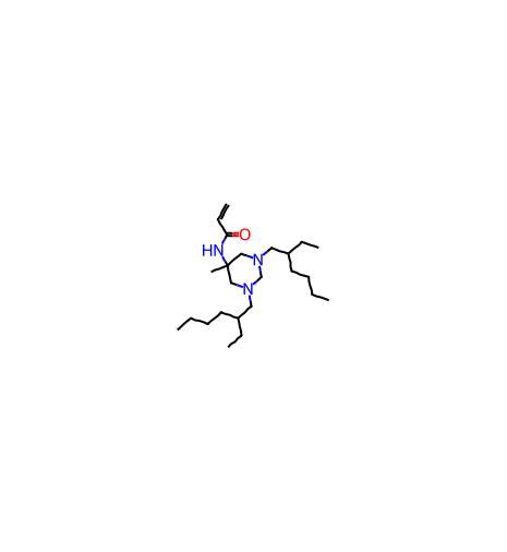 C=CC(=O)NC1(C)CN(CC(CC)CCCC)CN(CC(CC)CCCC)C1